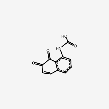 O=C(O)Nc1cccc2c1C(=O)C(=O)C=C2